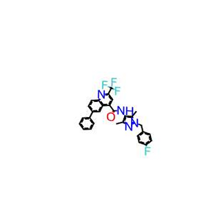 Cc1nn(Cc2ccc(F)cc2)c(C)c1NC(=O)c1cc(C(F)(F)F)nc2ccc(-c3ccccc3)cc12